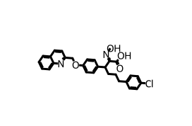 O=C(O)C(=NO)C(CCCc1ccc(Cl)cc1)c1ccc(OCc2ccc3ccccc3n2)cc1